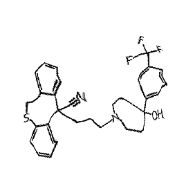 N#CC1(CCCN2CCC(O)(c3cccc(C(F)(F)F)c3)CC2)c2ccccc2CSc2ccccc21